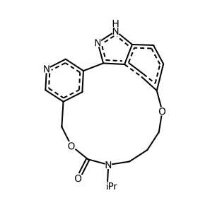 CC(C)N1CCCOc2ccc3[nH]nc(c3c2)-c2cncc(c2)COC1=O